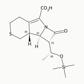 C[C@@H](O[Si](C)(C)C)[C@H]1C(=O)N2C(C(=O)O)=C3CCSC[C@H]3[C@H]12